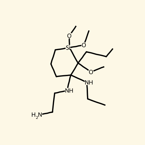 CCCC1(OC)C(NCC)(NCCN)CCC[Si]1(OC)OC